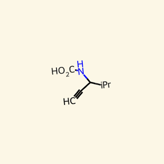 C#CC(NC(=O)O)C(C)C